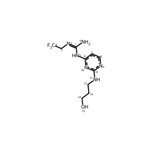 N/C(=N/CC(F)(F)F)Nc1ccnc(NCCCO)n1